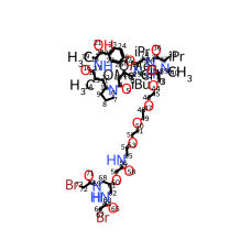 CCC(C)C(C(CC(=O)N1CCCC1C(OC)C(C)C(=O)NC(C)C(O)c1ccccc1)OC)N(C)C(=O)C(NC(=O)C(C(C)C)N(C)C(=O)COCCOCCOCCOCCNC(=O)COC(CNC(=O)CBr)CNC(=O)CBr)C(C)C